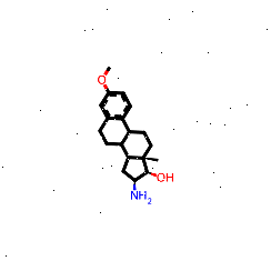 COc1ccc2c(c1)CCC1C2CC[C@@]2(C)C1C[C@H](N)[C@@H]2O